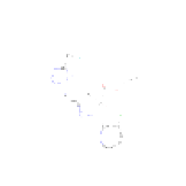 CCOC(=O)C1(O)CC(Cn2nnc(C(F)(F)F)n2)=NN1c1ncccc1Cl